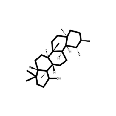 C[C@@H]1[C@H]2[C@H]3CC[C@@H]4[C@@]5(C)C(S)CCC(C)(C)[C@@H]5CC[C@@]4(C)[C@]3(C)CC[C@@]2(C)CC[C@H]1C